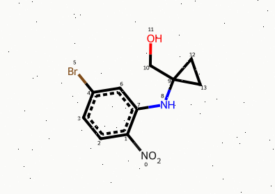 O=[N+]([O-])c1ccc(Br)cc1NC1(CO)CC1